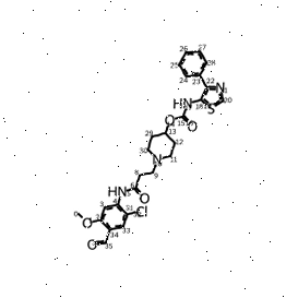 COc1cc(NC(=O)CCN2CCC(OC(=O)Nc3scnc3-c3ccccc3)CC2)c(Cl)cc1C=O